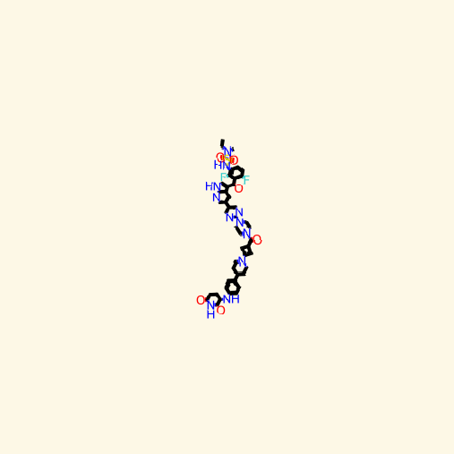 CCN(C)S(=O)(=O)Nc1ccc(F)c(C(=O)c2c[nH]c3ncc(-c4cnc(N5CCN(C(=O)C6CC(N7CCC(c8ccc(NC9CCC(=O)NC9=O)cc8)CC7)C6)CC5)nc4)cc23)c1F